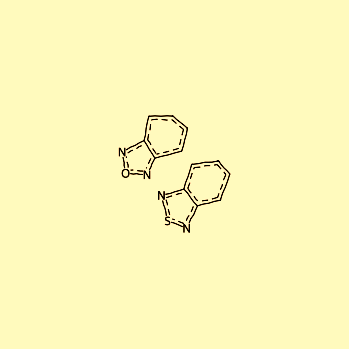 c1ccc2nonc2c1.c1ccc2nsnc2c1